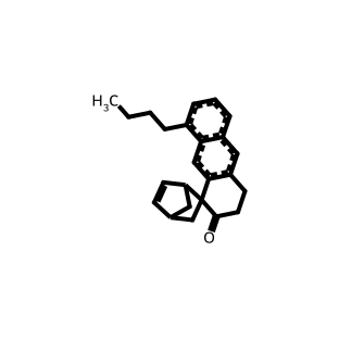 CCCCc1cccc2cc3c(cc12)C1(CC2C=CC1C2)C(=O)CC3